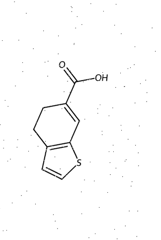 O=C(O)C1=Cc2sccc2CC1